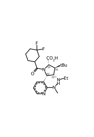 CCN[C@H]1[C@H](C(C)(C)C)[C@@H](C(=O)O)N(C(=O)C2CCCC(F)(F)C2)[C@H]1c1cccnc1N(C)C